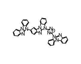 c1ccc2c(c1)nc1n(-c3ccc4nc5n(-c6noc(-n7c8ccccc8n8c9ccccc9nc78)n6)c6ccccc6n5c4c3)c3ccccc3n21